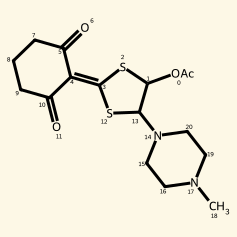 CC(=O)OC1SC(=C2C(=O)CCCC2=O)SC1N1CCN(C)CC1